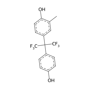 Cc1cc(C(c2ccc(O)cc2)(C(F)(F)F)C(F)(F)F)ccc1O